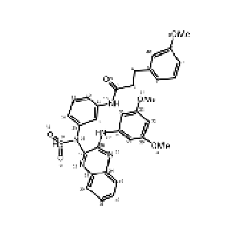 COc1cccc(CCC(=O)Nc2cccc(N(c3nc4ccccc4nc3Nc3cc(OC)cc(OC)c3)[SH](=O)=O)c2)c1